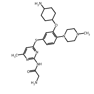 Cc1cc(Sc2ccc(N3CCN(C)CC3)c(OC3CCC(N)CC3)c2)nc(NC(=O)CN)n1